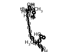 C=CC(=O)N1CCN(c2nc(OC(C)CN3CCC(OCCOCCOCCOCCOCCOCC(=O)NC(C(=O)N4C[C@H](O)C[C@H]4C(=O)NC(C)c4ccc(-c5scnc5C)cc4)C(C)(C)C)CC3)nc3c2CCN(c2cc(O)cc4ccccc24)C3)CC1